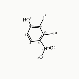 O=[N+]([O-])c1ccc(O)c(I)c1I